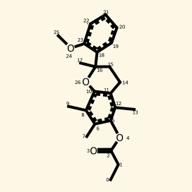 CCC(=O)Oc1c(C)c(C)c2c(c1C)CCC(C)(c1ccc[c]c1OC)O2